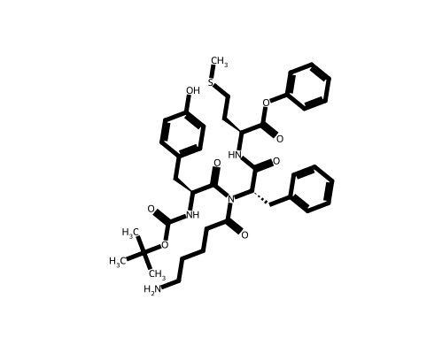 CSCC[C@H](NC(=O)[C@H](Cc1ccccc1)N(C(=O)CCCCN)C(=O)[C@H](Cc1ccc(O)cc1)NC(=O)OC(C)(C)C)C(=O)Oc1ccccc1